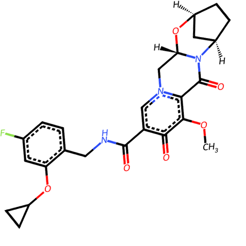 COc1c2n(cc(C(=O)NCc3ccc(F)cc3OC3CC3)c1=O)C[C@@H]1O[C@H]3CC[C@H](C3)N1C2=O